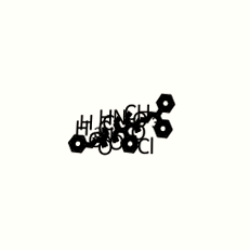 CC1=C(C(=O)OCCC(c2ccccc2)c2ccccc2)C(c2cccc(Cl)c2)C(C(=O)N(C)C(=O)OCc2ccccc2)=C(C)N1